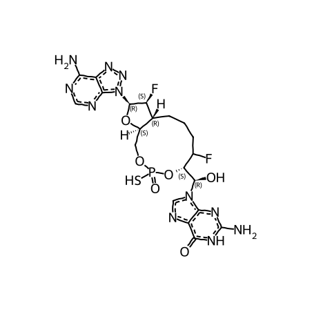 Nc1nc2c(ncn2[C@H](O)[C@@H]2OP(=O)(S)OC[C@H]3O[C@@H](n4nnc5c(N)ncnc54)[C@@H](F)[C@@H]3CCCC2F)c(=O)[nH]1